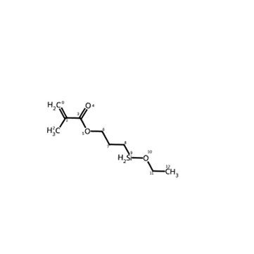 C=C(C)C(=O)OCCC[SiH2]OCC